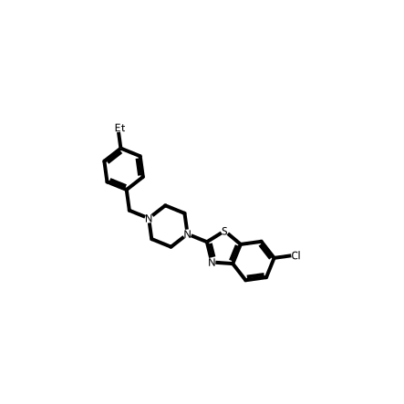 CCc1ccc(CN2CCN(c3nc4ccc(Cl)cc4s3)CC2)cc1